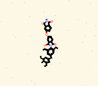 CCc1cc(Cc2cc(CC)c(N3C(=O)c4ccc(Oc5ccc6c(c5)C(=O)N(C)C6=O)cc4C3=O)c(CC)c2)cc(CC)c1C